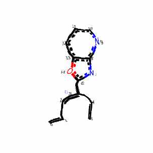 C=C/C=C(\C=C)c1nc2ncccc2o1